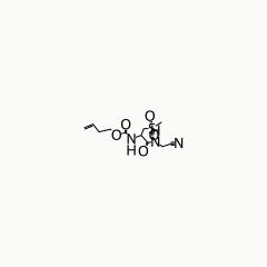 C=CCCOC(=O)NC(CS(C)(=O)=O)C(=O)NCC#N